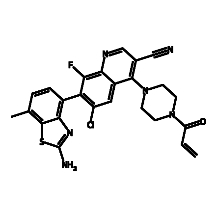 C=CC(=O)N1CCN(c2c(C#N)cnc3c(F)c(-c4ccc(C)c5sc(N)nc45)c(Cl)cc23)CC1